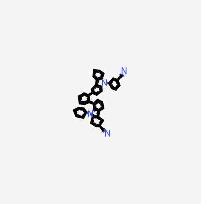 N#Cc1cccc(-n2c3ccccc3c3cc(-c4ccccc4-c4cccc5c6cc(C#N)ccc6n(-c6ccccc6)c45)ccc32)c1